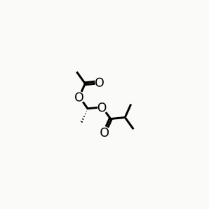 CC(=O)O[C@@H](C)OC(=O)C(C)C